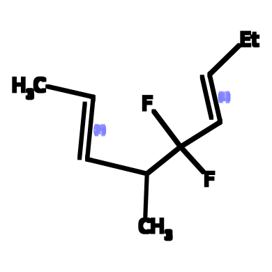 C/C=C/C(C)C(F)(F)/C=C/CC